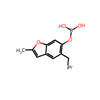 Cc1cc2cc(CC(C)C)c(OB(O)O)cc2o1